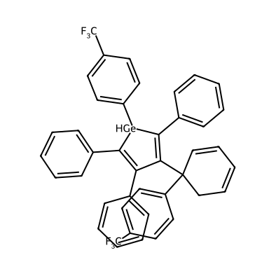 FC(F)(F)c1cc[c]([GeH]2[C](c3ccccc3)=C(c3ccccc3)C(C3(c4ccc(C(F)(F)F)cc4)C=CC=CC3)=[C]2c2ccccc2)cc1